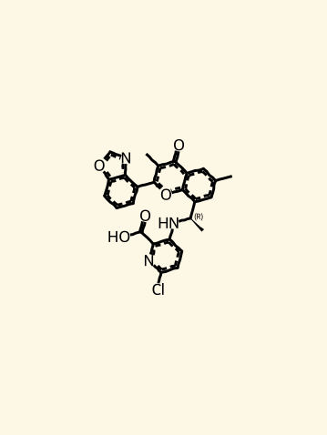 Cc1cc([C@@H](C)Nc2ccc(Cl)nc2C(=O)O)c2oc(-c3cccc4ocnc34)c(C)c(=O)c2c1